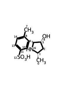 C[C@H]1C[C@@H](O)CN1.Cc1ccc(S(=O)(=O)O)cc1